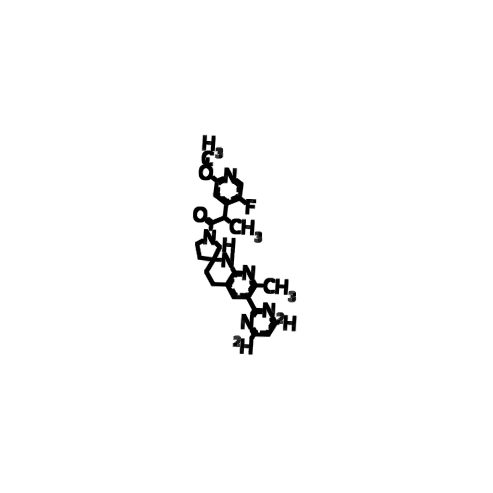 [2H]c1cc([2H])nc(-c2cc3c(nc2C)NC2(CC3)CCN(C(=O)C(C)c3cc(OC)ncc3F)C2)n1